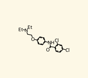 CCN(CC)CCOc1ccc(NC(=O)c2ccc(Cl)cc2Cl)cc1